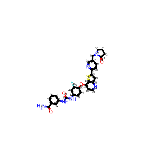 NC(=O)c1cccc(NC(=O)Nc2ccc(Oc3ccnc4cc(-c5ccc(CN6CCCC6=O)cn5)sc34)c(F)c2)c1